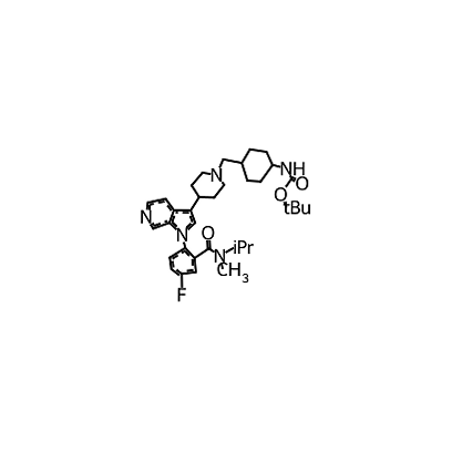 CC(C)N(C)C(=O)c1cc(F)ccc1-n1cc(C2CCN(CC3CCC(NC(=O)OC(C)(C)C)CC3)CC2)c2ccncc21